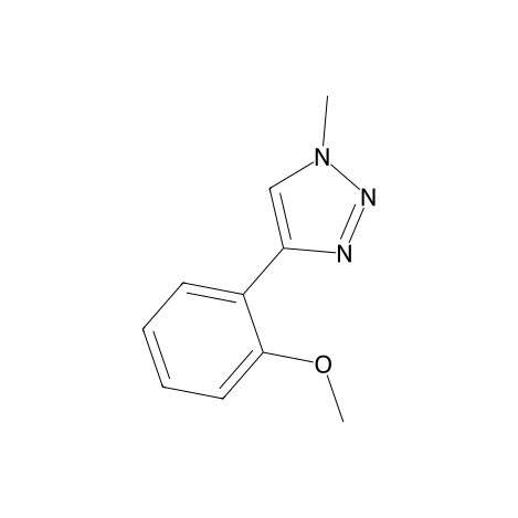 COc1ccccc1-c1cn(C)nn1